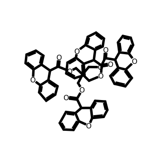 O=C(OCC(COC(=O)C1c2ccccc2Oc2ccccc21)(COC(=O)C1c2ccccc2Oc2ccccc21)COC(=O)C1c2ccccc2Oc2ccccc21)C1c2ccccc2Oc2ccccc21